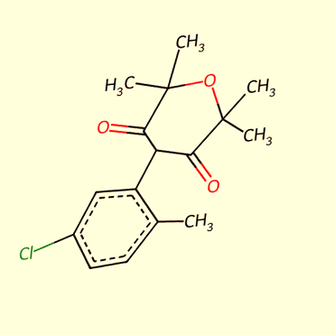 Cc1ccc(Cl)cc1C1C(=O)C(C)(C)OC(C)(C)C1=O